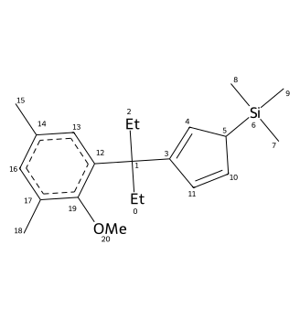 CCC(CC)(C1=CC([Si](C)(C)C)C=C1)c1cc(C)cc(C)c1OC